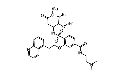 CCOC(OC(C)C)C(CC(=O)OC(C)(C)C)NS(=O)(=O)c1ccc(C(=O)NCCN(C)C)cc1OCCc1cccc2ncccc12